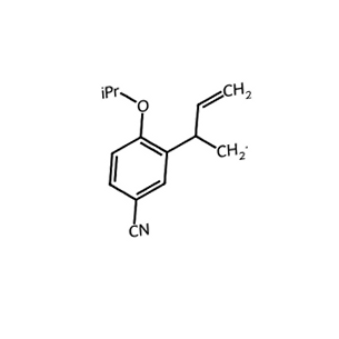 [CH2]C(C=C)c1cc(C#N)ccc1OC(C)C